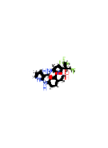 O=C(Nc1ccc(C(O)(CF)C(F)(F)F)cc1)c1cccnc1Nc1ccc2ccncc2c1